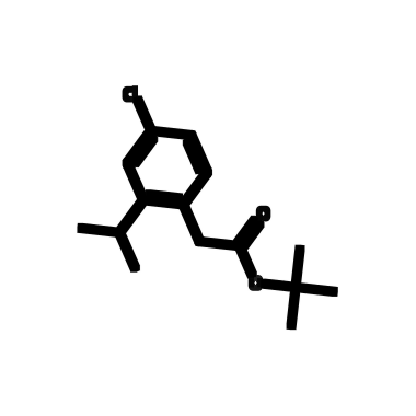 CC(C)c1cc(Cl)ccc1CC(=O)OC(C)(C)C